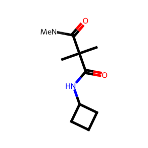 CNC(=O)C(C)(C)C(=O)NC1CCC1